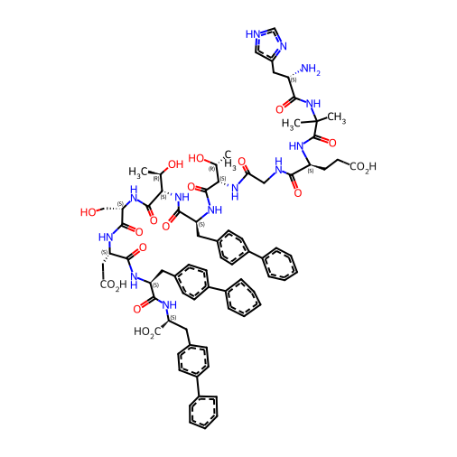 C[C@@H](O)[C@H](NC(=O)CNC(=O)[C@H](CCC(=O)O)NC(=O)C(C)(C)NC(=O)[C@@H](N)Cc1c[nH]cn1)C(=O)N[C@@H](Cc1ccc(-c2ccccc2)cc1)C(=O)N[C@H](C(=O)N[C@@H](CO)C(=O)N[C@@H](CC(=O)O)C(=O)N[C@@H](Cc1ccc(-c2ccccc2)cc1)C(=O)N[C@@H](Cc1ccc(-c2ccccc2)cc1)C(=O)O)[C@@H](C)O